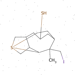 CC1(CI)C2CCS34CC(CC(S)C2)C(C3)C14